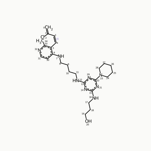 C=C(Cl)/C=C\c1c(NCCCCNc2nc(NCCCO)nc(N3CCCCC3)n2)ccnc1C